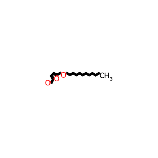 CCCCCCCCCCCCOCc1ccc(C=O)o1